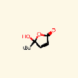 CC(C)(C)C1(O)C=CC(=O)O1